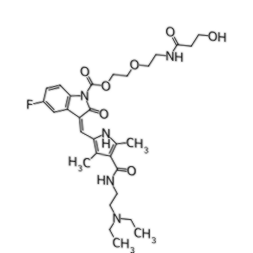 CCN(CC)CCNC(=O)c1c(C)[nH]c(/C=C2\C(=O)N(C(=O)OCCOCCNC(=O)CCO)c3ccc(F)cc32)c1C